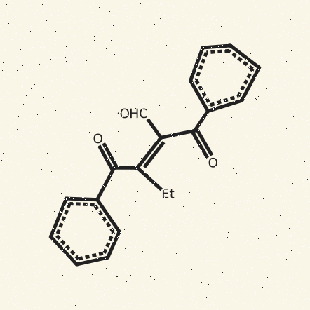 CC/C(C(=O)c1ccccc1)=C(/[C]=O)C(=O)c1ccccc1